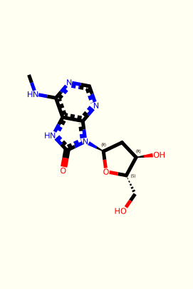 CNc1ncnc2c1[nH]c(=O)n2[C@H]1C[C@@H](O)[C@H](CO)O1